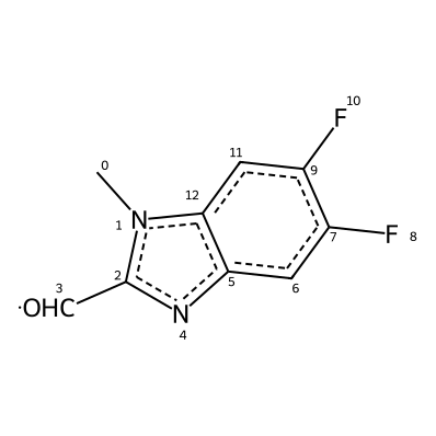 Cn1c([C]=O)nc2cc(F)c(F)cc21